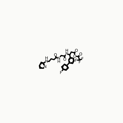 O=C(CCCNc1ccccn1)NCC(=O)NC(CC(=O)OC(=O)C(F)(F)F)c1cccc(-c2ccc(F)cc2)c1